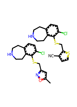 Cc1cc(CSc2c(Cl)ccc3c2CCNCC3)no1.N#Cc1ccsc1CSc1c(Cl)ccc2c1CCNCC2